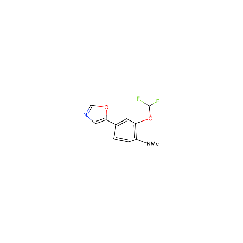 CNc1ccc(-c2cnco2)cc1OC(F)F